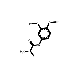 CC(C)Oc1ccc(OC(=O)[C@H](C)N)cc1OC(C)C